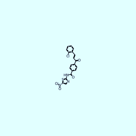 O=C(/C=C/c1ccccc1Cl)c1ccc(C(=O)Nc2ncc([N+](=O)[O-])s2)cc1